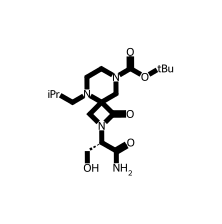 CC(C)CN1CCN(C(=O)OC(C)(C)C)CC12CN([C@@H](CO)C(N)=O)C2=O